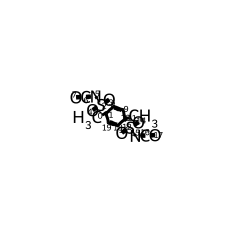 CC1(S(=O)(=O)N=C=O)C=CC(C)(S(=O)(=O)N=C=O)C=C1